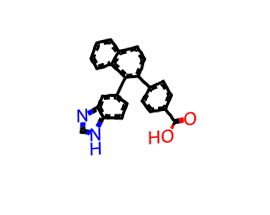 O=C(O)c1ccc(-c2ccc3ccccc3c2-c2ccc3[nH]cnc3c2)cc1